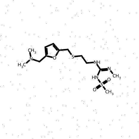 C/N=C(/NCCSCc1ccc(CN(C)C)o1)NS(C)(=O)=O